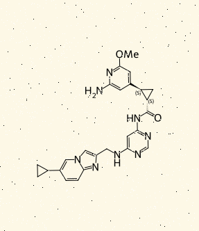 COc1cc([C@H]2C[C@@H]2C(=O)Nc2cc(NCc3cn4cc(C5CC5)ccc4n3)ncn2)cc(N)n1